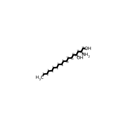 CCCCCCCCCCCCCC[C@@H](O)C[C@@H](N)CO